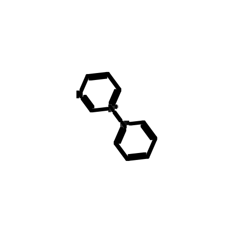 c1cc[n+](-[n+]2cccnc2)cc1